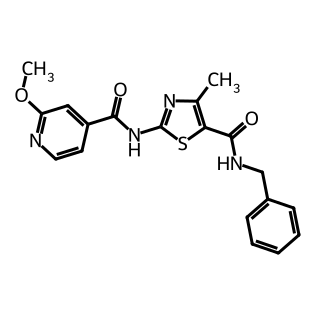 COc1cc(C(=O)Nc2nc(C)c(C(=O)NCc3ccccc3)s2)ccn1